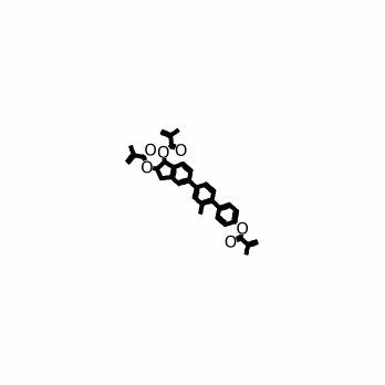 C=C(C)C(=O)Oc1ccc(-c2ccc(-c3ccc4c(c3)CC(OC(=O)C(=C)C)C4OC(=O)C(=C)C)cc2C)cc1